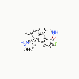 Cc1ccc(C2CCNOc3c(F)cccc32)cc1[C@@H](N)CC=O